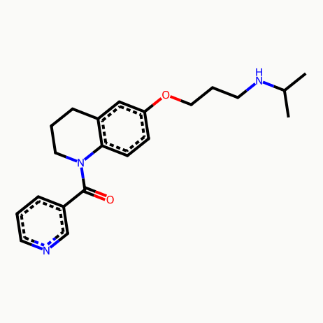 CC(C)NCCCOc1ccc2c(c1)CCCN2C(=O)c1cccnc1